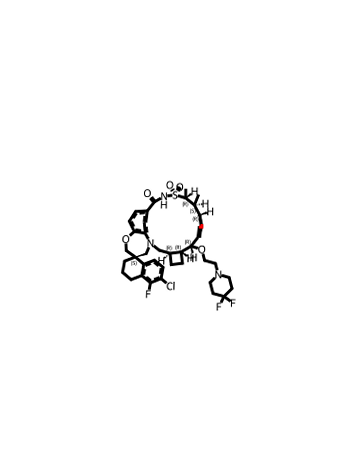 C[C@@H]1[C@@H](C)S(=O)(=O)NC(=O)c2ccc3c(c2)N(C[C@@H]2CC[C@H]2[C@@H](OCCN2CCC(F)(F)CC2)C2=C[C@H]1C2)C[C@@]1(CCCc2c1ccc(Cl)c2F)CO3